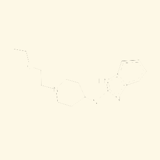 CCOCCN1CCC(Nc2nc3ccccc3[nH]2)CC1